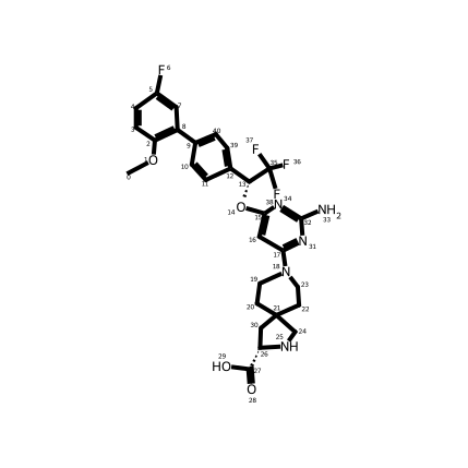 COc1ccc(F)cc1-c1ccc([C@@H](Oc2cc(N3CCC4(CC3)CN[C@H](C(=O)O)C4)nc(N)n2)C(F)(F)F)cc1